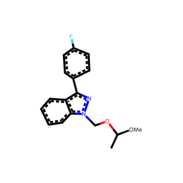 COC(C)OCn1nc(-c2ccc(F)cc2)c2ccccc21